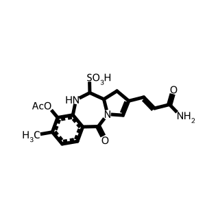 CC(=O)Oc1c(C)ccc2c1NC(S(=O)(=O)O)C1CC(C=CC(N)=O)=CN1C2=O